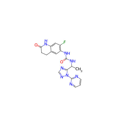 CC(NC(=O)Nc1cc2c(cc1F)NC(=O)CC2)c1ncnn1-c1ncccn1